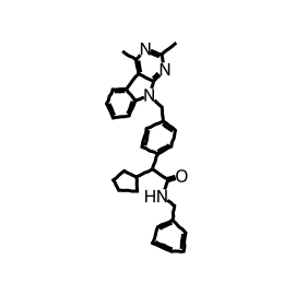 Cc1nc(C)c2c3ccccc3n(Cc3ccc(C(C(=O)NCc4ccccc4)C4CCCC4)cc3)c2n1